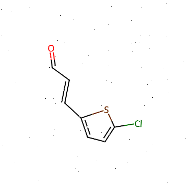 O=[C]C=Cc1ccc(Cl)s1